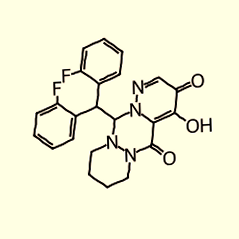 O=C1c2c(O)c(=O)cnn2C(C(c2ccccc2F)c2ccccc2F)N2CCCCN12